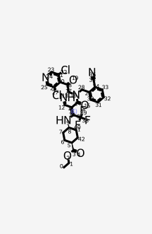 CCOC(=O)[C@H]1CC[C@H](N/C(=C(\C=N)C(=O)N(CC(=O)c2c(Cl)cncc2Cl)Cc2ccccc2C#N)C(F)(F)F)CC1